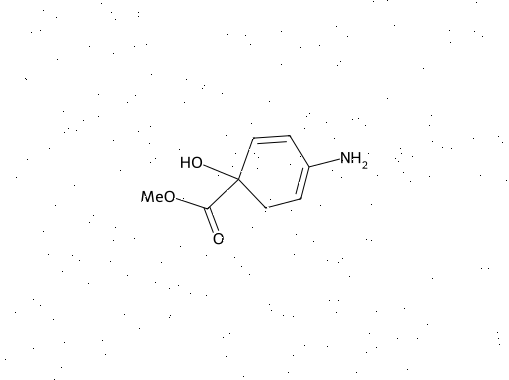 COC(=O)C1(O)C=CC(N)=CC1